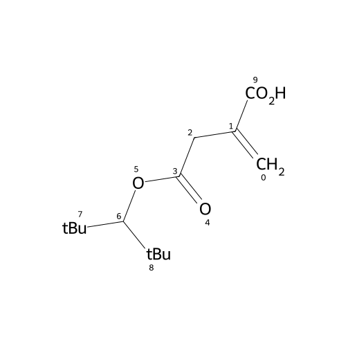 C=C(CC(=O)OC(C(C)(C)C)C(C)(C)C)C(=O)O